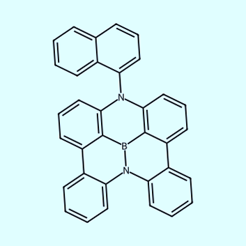 c1ccc2c(c1)-c1cccc3c1B1c4c(cccc4N3c3cccc4ccccc34)-c3ccccc3N12